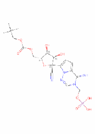 CC(C)(C)COC(=O)OC[C@H]1O[C@@](C#N)(c2ccc3c(=N)n(COP(=O)(O)O)cnn23)[C@H](O)[C@@H]1O